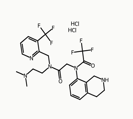 CN(C)CCN(Cc1ncccc1C(F)(F)F)C(=O)CN(C(=O)C(F)(F)F)c1cccc2c1CNCC2.Cl.Cl